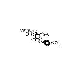 CNC(=O)CO[C@H]1[C@@H](O)[C@@H](CO)O[C@H](Oc2ccc([N+](=O)[O-])cc2)[C@@H]1O